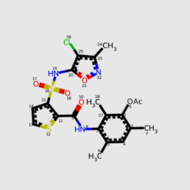 CC(=O)Oc1c(C)cc(C)c(NC(=O)c2sccc2S(=O)(=O)Nc2onc(C)c2Cl)c1C